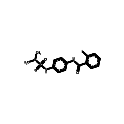 CN(C)S(=O)(=O)Nc1ccc(NC(=O)c2ccccc2I)cc1